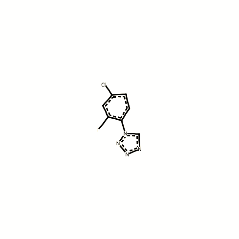 Clc1ccc(-n2cnnn2)c(I)c1